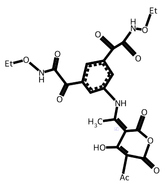 CCONC(=O)C(=O)c1cc(N/C(C)=C2\C(=O)OC(=O)C(C(C)=O)=C2O)cc(C(=O)C(=O)NOCC)c1